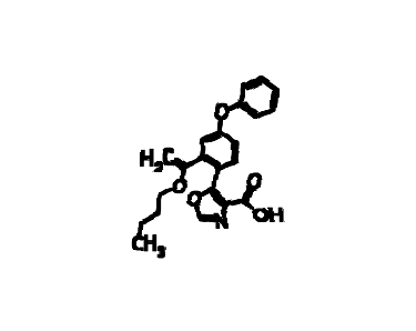 C=C(OCCCC)c1cc(Oc2ccccc2)ccc1-c1ocnc1C(=O)O